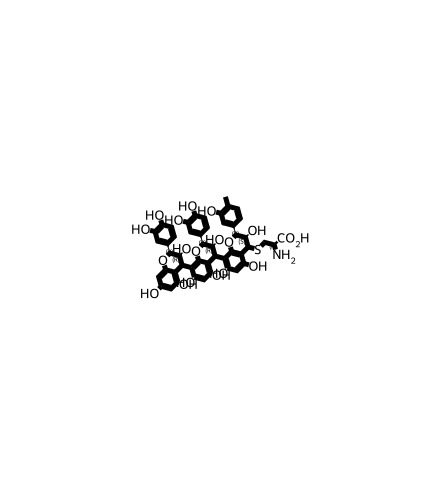 Cc1ccc([C@H]2Oc3c(c(O)cc(O)c3C3c4c(O)cc(O)c(C5c6c(O)cc(O)cc6O[C@H](c6ccc(O)c(O)c6)[C@@H]5O)c4O[C@H](c4ccc(O)c(O)c4)[C@@H]3O)C(SC[C@H](N)C(=O)O)[C@H]2O)cc1O